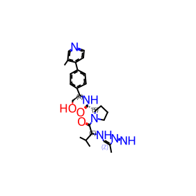 C/C(=C/N[C@H](C(=O)N1CCC[C@H]1C(=O)N[C@@H](CO)c1ccc(-c2ccncc2C)cc1)C(C)C)N=N